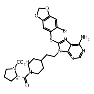 Nc1ncnc2c1nc(Sc1cc3c(cc1Br)OCO3)n2CCC1CCN(C(=O)[C@@H]2CCCN2C(=O)O)CC1